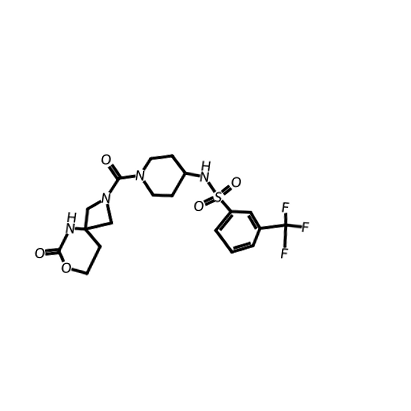 O=C1NC2(CCO1)CN(C(=O)N1CCC(NS(=O)(=O)c3cccc(C(F)(F)F)c3)CC1)C2